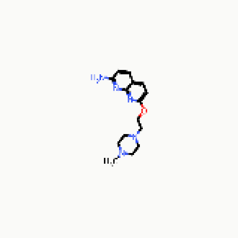 CN1CCN(CCOc2ccc3ccc(N)nc3n2)CC1